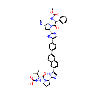 C=N[C@H]1C[C@@H](c2ncc(-c3ccc(-c4ccc5cc(-c6cnc([C@@H]7CCCN7C(=O)[C@@H](NC(=O)OC)C(C)C)[nH]6)ccc5c4)cc3)[nH]2)N(C(=O)[C@H](NC(=O)OC)c2ccccc2)C1